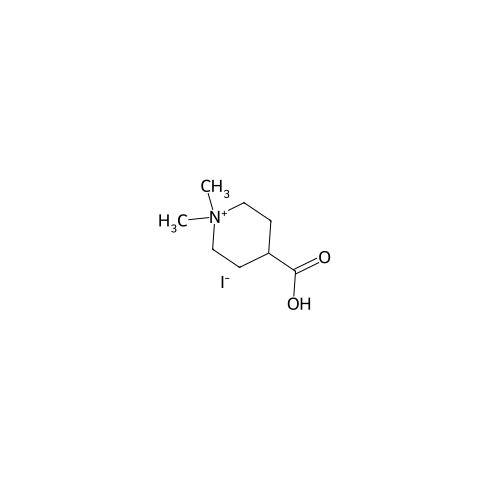 C[N+]1(C)CCC(C(=O)O)CC1.[I-]